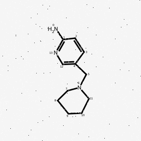 Nc1ccc(CN2CCCCC2)cn1